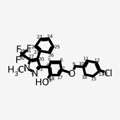 Cn1nc(-c2ccc(OCC3=CC=C(Cl)CC3)cc2O)c(-c2ccccc2)c1C(F)(F)F